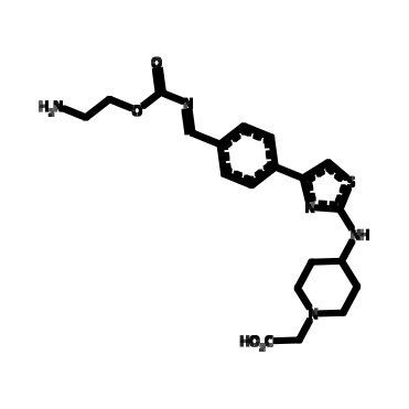 NCCOC(=O)N=Cc1ccc(-c2csc(NC3CCN(CC(=O)O)CC3)n2)cc1